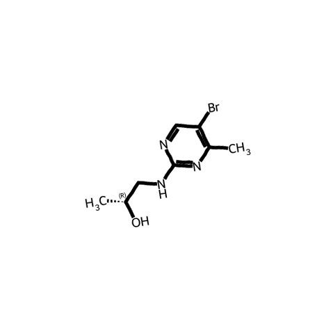 Cc1nc(NC[C@@H](C)O)ncc1Br